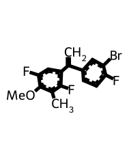 C=C(c1ccc(F)c(Br)c1)c1cc(F)c(OC)c(C)c1F